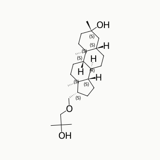 CC(C)(O)COC[C@H]1CC[C@H]2[C@@H]3CC[C@H]4C[C@@](C)(O)CC[C@]4(C)[C@H]3CC[C@]12C